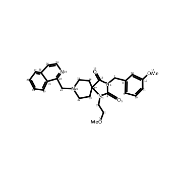 COCCN1C(=O)N(Cc2cccc(OC)c2)C(=O)C12CCN(Cc1nccc3ccccc13)CC2